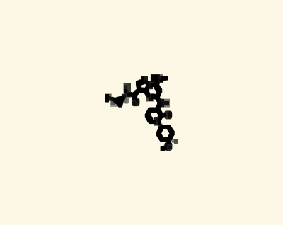 CNc1cc(Nc2cccn([C@H]3CC[C@](C)(OC)CC3)c2=O)nc2c(C(=O)N[C@H]3C[C@H]3F)cnn12